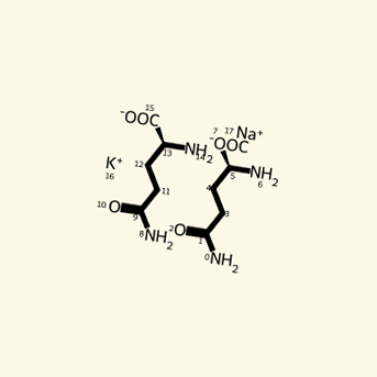 NC(=O)CC[C@H](N)C(=O)[O-].NC(=O)CC[C@H](N)C(=O)[O-].[K+].[Na+]